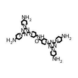 NC1CCN(c2nc(N3CCC(N)CC3)nc(N3CCC(NC(=O)C4CCN(c5nc(N6CCC(N)CC6)nc(N6CCC(N)CC6)n5)CC4)CC3)n2)CC1